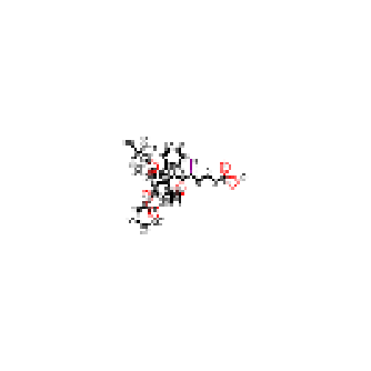 COC(=O)CCCC(I)C1C[C@@]2([Se]c3ccccc3)[C@H](C[C@@H](OC3CCCCO3)[C@@H]2CO[Si](C)(C)C(C)(C)C)O1